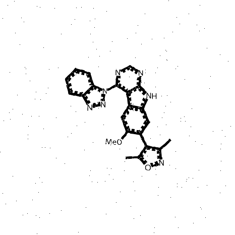 COc1cc2c(cc1-c1c(C)noc1C)[nH]c1ncnc(-n3nnc4ccccc43)c12